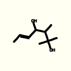 CC=CC(O)C(C)C(C)(C)O